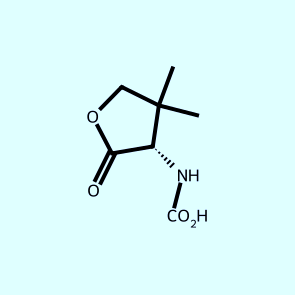 CC1(C)COC(=O)[C@H]1NC(=O)O